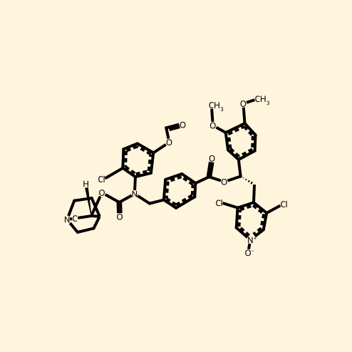 COc1ccc([C@H](Cc2c(Cl)c[n+]([O-])cc2Cl)OC(=O)c2ccc(CN(C(=O)O[C@H]3CN4CCC3CC4)c3cc(OC=O)ccc3Cl)cc2)cc1OC